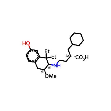 CCC1(CC)c2cc(O)ccc2C[C@H](OC)[C@@H]1NCC[C@H](CC1CCCCC1)C(=O)O